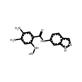 CCCNc1cc(N)c(N)cc1C(=O)Nc1ccc2cn[nH]c2c1